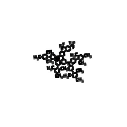 Cc1cc(C)c(-c2ccc3c(c2)c2cc(-c4c(C)cc(C)cc4C)ccc2n3-c2ccc(C#N)c(-c3cc(-c4ccc(C(F)(F)F)cc4C(F)(F)F)ccc3-n3c4ccc(-c5c(C)cc(C)cc5C)cc4c4cc(-c5c(C)cc(C)cc5C)ccc43)c2)c(C)c1